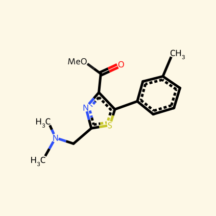 COC(=O)c1nc(CN(C)C)sc1-c1cccc(C)c1